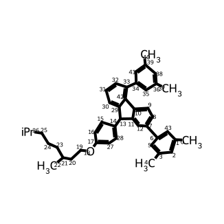 Cc1cc(C)cc(-c2ccc3c(c2)C(c2ccc(OCCC(C)CCCC(C)C)cc2)c2cccc(-c4cc(C)cc(C)c4)c2-3)c1